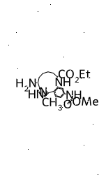 CCOC(=O)C1CCCCC(N)c2nc(c(C)[nH]2)-c2ccc(NC(=O)OC)cc2N1